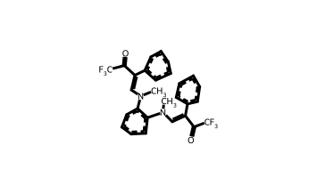 CN(/C=C(/C(=O)C(F)(F)F)c1ccccc1)c1ccccc1N(C)/C=C(/C(=O)C(F)(F)F)c1ccccc1